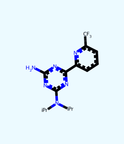 CC(C)N(c1nc(N)nc(-c2cccc(C(F)(F)F)n2)n1)C(C)C